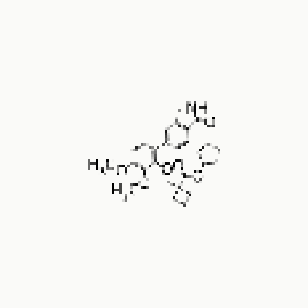 COc1ccc(-c2ccc3c(c2)CNC3=O)c(OCC2(C(=O)OC3CCCC3)CCC2)c1OC